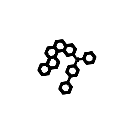 c1ccc(-c2ccc(N(c3ccccc3)c3ccc4ccc5ccc6c7ccccc7ccc6c5c4c3)cc2)cc1